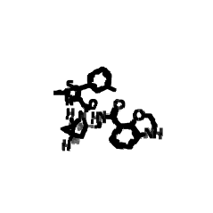 Cc1cccc(-c2sc(C)nc2C(=O)N2[C@H](CNC(=O)c3cccc4c3OCCN4)C[C@@H]3C[C@@H]32)c1